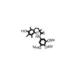 COc1cc(NC(=S)C2(C)CCc3c(C)c(O)c(C)c(C)c3O2)cc(OC)c1OC